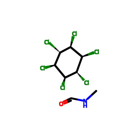 CNC=O.Cl[C@H]1[C@H](Cl)[C@@H](Cl)[C@@H](Cl)[C@H](Cl)[C@H]1Cl